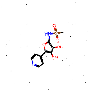 CS(=O)(=O)Nc1oc(-c2ccncc2)c(O)c1O